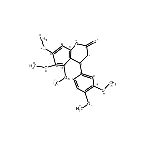 COc1ccc(C2CC(=O)Oc3cc(OC)c(OC)c(OC)c32)cc1OC